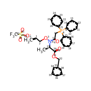 C=CCON(C(=O)C[P+](c1ccccc1)(c1ccccc1)c1ccccc1)[C@H](C)C(=O)OCc1ccccc1.O=S(=O)([O-])C(F)(F)F